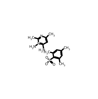 Cc1cc(C)c(S(=O)(=O)[O-])c(C)c1.Cc1cc(N)[n+](N)c(C)n1